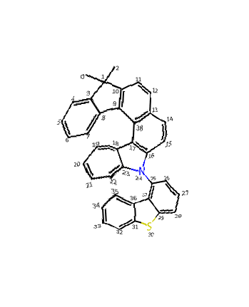 CC1(C)c2ccccc2-c2c1ccc1ccc3c(c4ccccc4n3-c3cccc4sc5ccccc5c34)c21